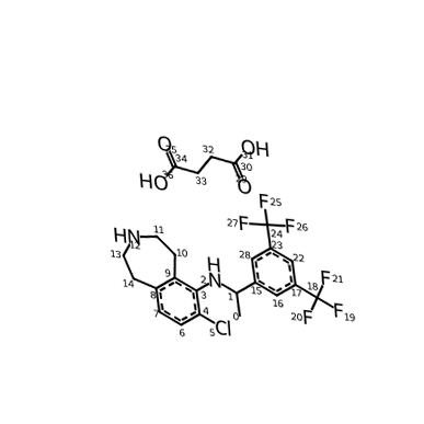 CC(Nc1c(Cl)ccc2c1CCNCC2)c1cc(C(F)(F)F)cc(C(F)(F)F)c1.O=C(O)CCC(=O)O